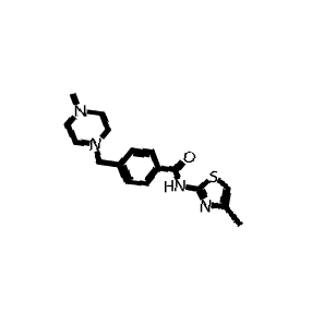 Cc1csc(NC(=O)c2ccc(CN3CCN(C)CC3)cc2)n1